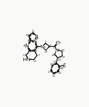 O=C(C1CN(c2c3c(nc4ccnn24)CNCC3)C1)N1CCC(c2ccccc2F)C1